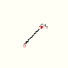 CC(=O)OCCCCCCCCCCCCCCC[C]=O